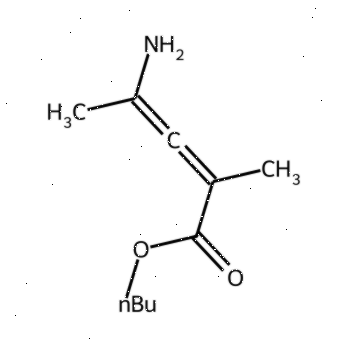 CCCCOC(=O)C(C)=C=C(C)N